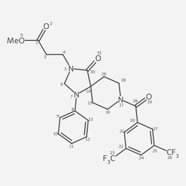 COC(=O)CCN1CN(c2ccccc2)C2(CCN(C(=O)c3cc(C(F)(F)F)cc(C(F)(F)F)c3)CC2)C1=O